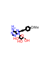 COc1ccc(C#Cc2nc3c(N)ncnc3n2[C@@H]2O[C@H](CO)[C@@H](O)[C@H]2O)cc1